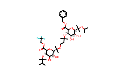 CC(C)OC(C)(C)[C@@H]1OC(C(=O)OCc2ccccc2)[C@@H](OC(C)(C)CCOC(C)(C)[C@@H]2OC(C(=O)OCC(F)(F)F)[C@@H](OC(C)(C)C(C)C)[C@H](O)[C@@H]2O)[C@H](O)[C@@H]1O